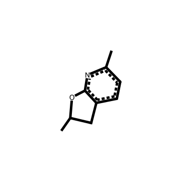 Cc1ccc2c(n1)OC(C)C2